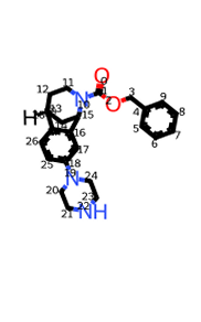 O=C(OCc1ccccc1)N1CC[C@@H]2CC1c1cc(N3CCNCC3)ccc12